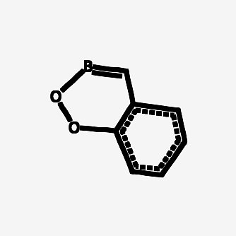 B1=Cc2ccccc2OO1